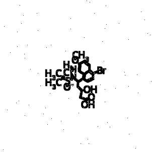 COc1ccc2c(Br)ccc(C(CC(O)CC(=O)O)N[S+]([O-])C(C)(C)C)c2c1